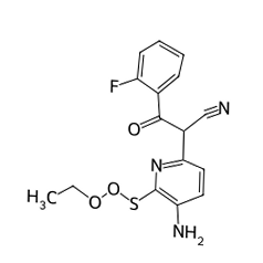 CCOOSc1nc(C(C#N)C(=O)c2ccccc2F)ccc1N